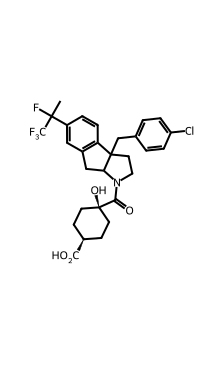 CC(F)(c1ccc2c(c1)CC1N(C(=O)[C@]3(O)CC[C@@H](C(=O)O)CC3)CCC21Cc1ccc(Cl)cc1)C(F)(F)F